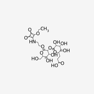 CCOc1c(NCCO[C@H]2OC(CO)[C@@H](O)C(O)C2O[C@H]2OC(CCC(=O)O)[C@@H](O)C(O)C2O)c(=O)c1=O